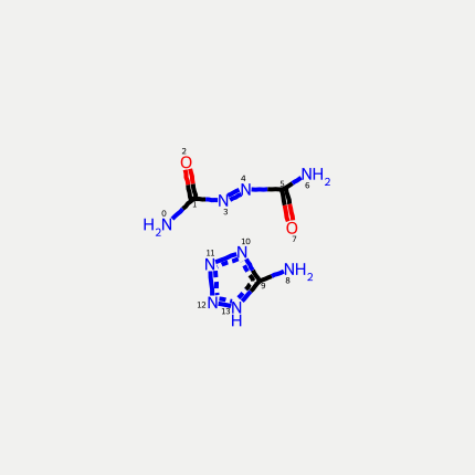 NC(=O)N=NC(N)=O.Nc1nnn[nH]1